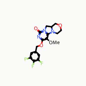 COc1c(OCc2cc(F)c(F)c(F)c2)nc(=O)n2c1N1CCOCC1C2